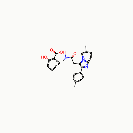 Cc1ccc(-c2nc3ccc(C)cn3c2CC(=O)N(C)C)cc1.O=C(O)c1ccccc1O